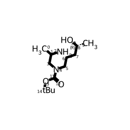 CC(N)CN(CCC[C@@H](C)O)C(=O)OC(C)(C)C